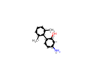 Cc1cccc(C)c1-c1ccc(N)cc1O